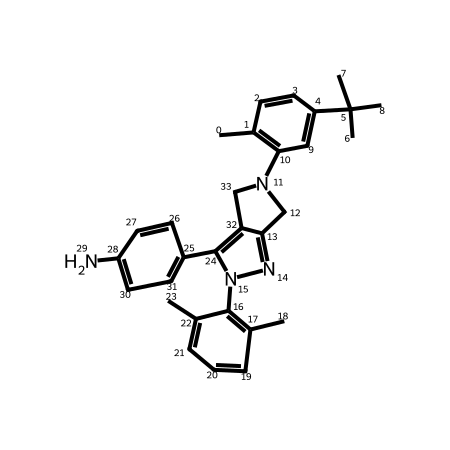 Cc1ccc(C(C)(C)C)cc1N1Cc2nn(-c3c(C)cccc3C)c(-c3ccc(N)cc3)c2C1